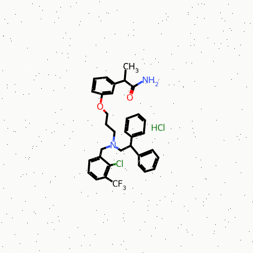 CC(C(N)=O)c1cccc(OCCCN(Cc2cccc(C(F)(F)F)c2Cl)CC(c2ccccc2)c2ccccc2)c1.Cl